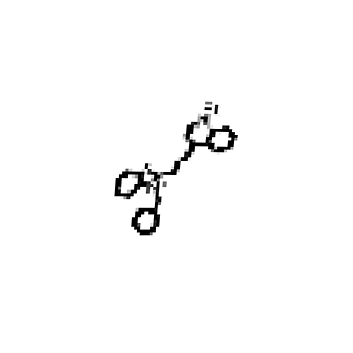 CCN1C=C/C(=C\C=C\c2sc3ccccc3[n+]2Cc2ccccc2)c2ccccc21